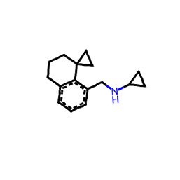 c1cc2c(c(CNC3CC3)c1)C1(CCC2)CC1